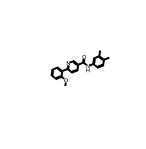 COc1ccccc1-c1ccc(C(=O)Nc2ccc(C)c(C)c2)cn1